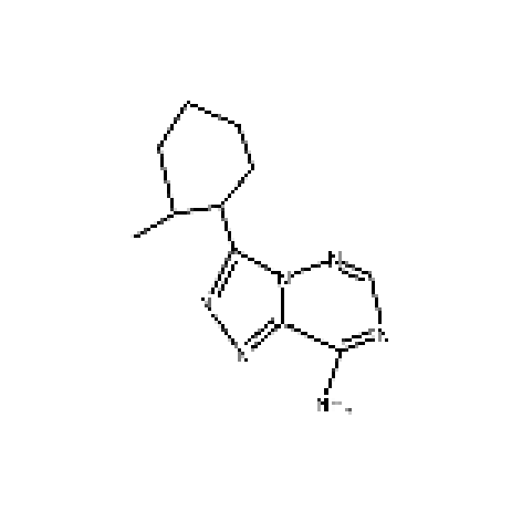 CC1CCCCC1c1nnc2c(N)ncnn12